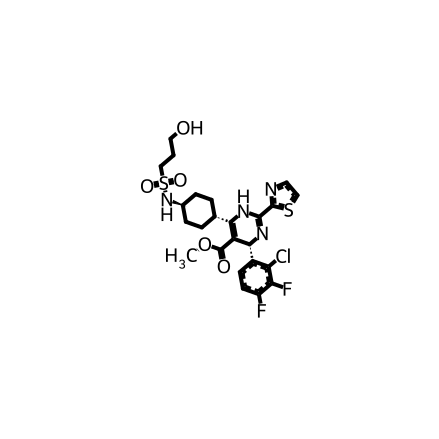 COC(=O)C1=C([C@H]2CC[C@H](NS(=O)(=O)CCCO)CC2)NC(c2nccs2)=N[C@@H]1c1ccc(F)c(F)c1Cl